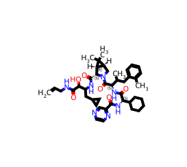 C=CCNC(=O)C(O)C(CC1CC1)NC(=O)[C@@H]1[C@@H]2[C@H](CN1C(=O)[C@@H](NC(=O)[C@@H](NC(=O)c1cnccn1)C1CCCCC1)C(C)Cc1ccccc1C)C2(C)C